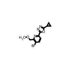 COCc1nc(-c2nnc(C3CC3)o2)ccc1Br